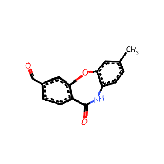 Cc1ccc2c(c1)Oc1cc(C=O)ccc1C(=O)N2